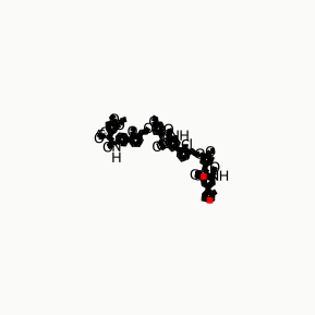 CCOc1cc([C@@H](CS(C)(=O)=O)n2c(=O)[nH]c3cc(-c4cccc(CCOc5cc([C@@H](CS(C)(=O)=O)n6c(=O)[nH]c7cc(-c8cccc(CCOc9cc([C@@H](CS(C)(=O)=O)n%10c(=O)[nH]c%11cc(-c%12ccccc%12C)ccc%11%10)ccc9OC)c8Cl)ccc76)ccc5OC)c4OC)ccc32)ccc1OC